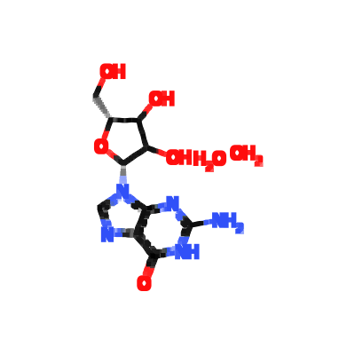 Nc1nc2c(ncn2[C@@H]2O[C@H](CO)C(O)C2O)c(=O)[nH]1.O.O